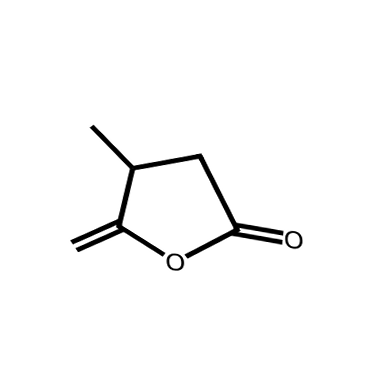 C=C1OC(=O)CC1C